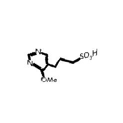 COc1ncncc1CCCS(=O)(=O)O